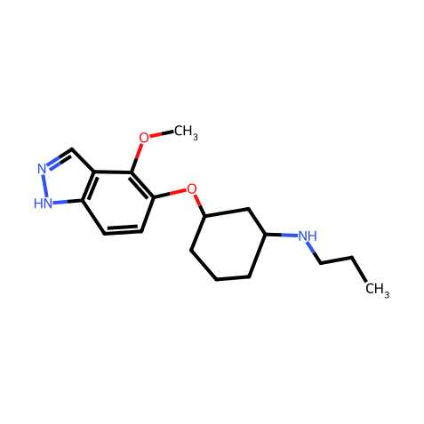 CCCNC1CCCC(Oc2ccc3[nH]ncc3c2OC)C1